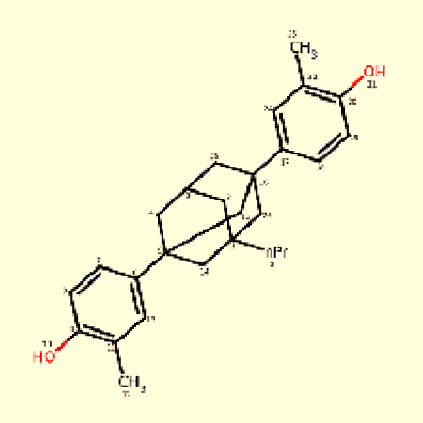 CCCC12CC3CC(c4ccc(O)c(C)c4)(C1)CC(c1ccc(O)c(C)c1)(C3)C2